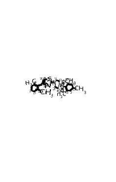 Cc1cc(C)c(S(=O)(=O)N2CCN(c3nc(-c4c(C)cccc4C)cs3)CC2)c(C)c1